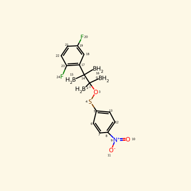 BC(B)(OSc1ccc([N+](=O)[O-])cc1)C(B)(B)c1cc(F)ccc1F